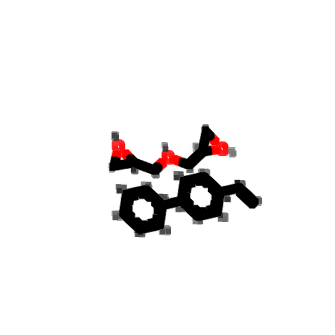 C(OCC1CO1)C1CO1.C=Cc1ccc(-c2ccccc2)cc1